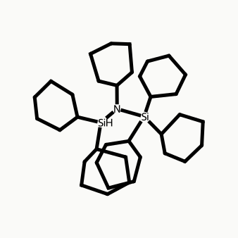 C1CCC(N([SiH](C2CCCCC2)C2CCCCC2)[Si](C2CCCCC2)(C2CCCCC2)C2CCCCC2)CC1